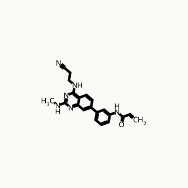 C=CC(=O)Nc1cccc(-c2ccc3c(NCCC#N)nc(NC)nc3c2)c1